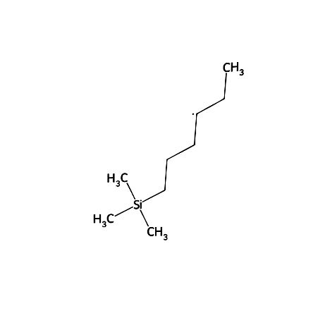 CC[CH]CCC[Si](C)(C)C